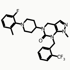 Cc1cccc(F)c1N1CCC(N2Cc3cnn(C)c3N(Cc3ccccc3C(F)(F)F)C2=O)CC1